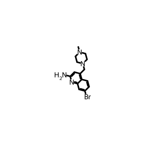 CN1CCN(Cc2cc(N)nc3cc(Br)ccc23)CC1